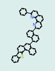 c1ccc(-c2ccc3ccc4ccc(-c5cccc6c(-c7cc8ccc9c%10ccccc%10sc9c8c8ccccc78)cccc56)nc4c3n2)cc1